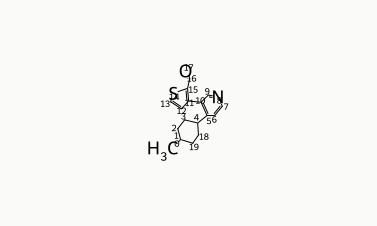 CC1CCC(c2ccncc2-c2ccsc2C=O)CC1